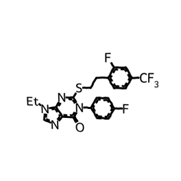 CCn1cnc2c(=O)n(-c3ccc(F)cc3)c(SCCc3ccc(C(F)(F)F)cc3F)nc21